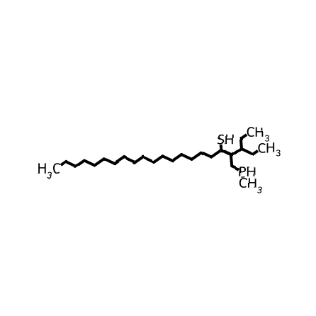 CCCCCCCCCCCCCCCCCC(S)C(CPC)C(CC)CC